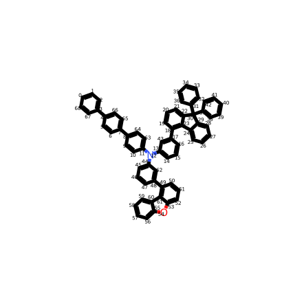 c1ccc(-c2ccc(-c3ccc(N(c4cccc(-c5cccc6c5-c5ccccc5C6(c5ccccc5)c5ccccc5)c4)c4cccc(-c5cccc6oc7ccccc7c56)c4)cc3)cc2)cc1